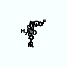 Cn1cc(-c2ccc3c(c2)CC[C@@H]3C(=O)N(CC(=O)N2Cc3ccc(F)cc3CC[C@@H]2C2CC2)C(N)=O)cn1